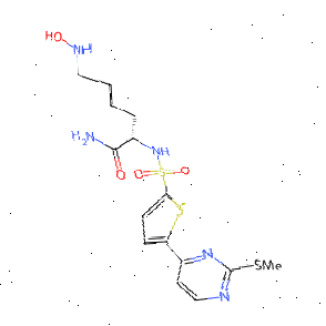 CSc1nccc(-c2ccc(S(=O)(=O)N[C@@H](CCCCNO)C(N)=O)s2)n1